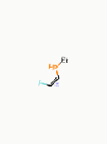 CCP/C=C\F